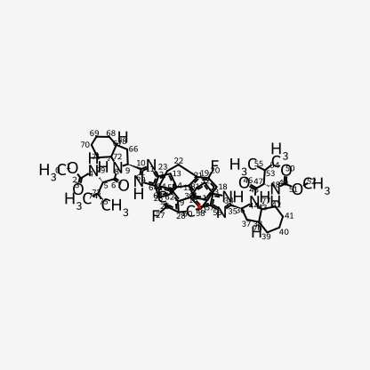 COC(=O)N[C@H](C(=O)N1[C@H](c2nc3cc(-c4cc5cc(F)c4CCc4cc(F)c(c(-c6ccc7[nH]c([C@@H]8C[C@@H]9CCCC[C@@H]9N8C(=O)[C@@H](NC(=O)OC)C(C)C)nc7c6)c4)CC5)ccc3[nH]2)C[C@@H]2CCCC[C@@H]21)C(C)C